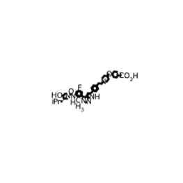 Cc1c(NC(=O)N2C[C@H](CC(C)C)[C@@H](O)C2)cc(F)cc1-c1ncnc2[nH]c(-c3ccc(CCN4CCC(OC5CCN(C(=O)O)CC5)CC4)cc3)cc12